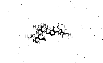 CCn1cc(C(C)(F)F)nc1-c1ccc(CN2C(=O)OC(C)(C)c3cnc(-c4c(OC)ncnc4C4CC4)nc32)cc1F